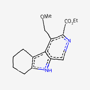 CCOC(=O)c1ncc2[nH]c3c(c2c1COC)CCCC3